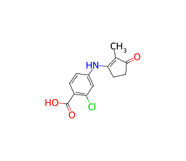 CC1=C(Nc2ccc(C(=O)O)c(Cl)c2)CCC1=O